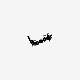 CCCCCc1ccc(C(F)(F)OC2CCC(c3ccc(-c4ccc(-c5cc(F)c(SCC)c(F)c5)c(F)c4)cc3)CC2)cc1